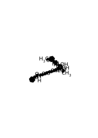 COc1cccc(-c2cn(C[C@H]3OC(OCCOCCOCCOCCNC(=O)OCc4ccccc4)[C@H](NC(C)=O)[C@@H](O)[C@H]3O)nn2)c1